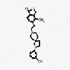 Cc1c(CCN2CCC3(CC2)CCN(c2cccc(C#N)c2)C3)ccc2c1COC2=O